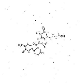 Cn1ccc(C2CCNC[C@@H]2C(=O)N(Cc2cc(CCCCO)cc(Cl)c2Cl)C2CC2)cc1=O